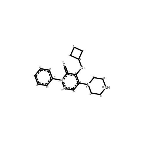 O=c1c(OC2CCC2)c(N2CCNCC2)cnn1-c1ccccc1